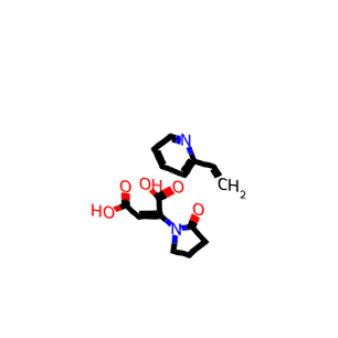 C=Cc1ccccn1.O=C(O)/C=C(\C(=O)O)N1CCCC1=O